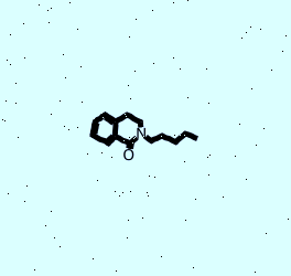 CCCCCN1CCc2ccccc2C1=O